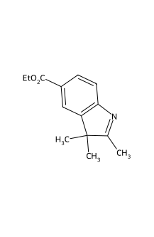 CCOC(=O)c1ccc2c(c1)C(C)(C)C(C)=N2